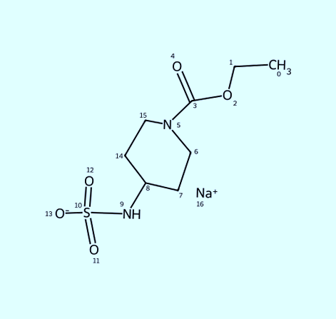 CCOC(=O)N1CCC(NS(=O)(=O)[O-])CC1.[Na+]